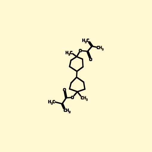 C=C(C)C(=O)OC1(C)CCC(C2CCC(C)(OC(=O)C(=C)C)CC2)CC1